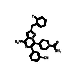 N#Cc1cccc(-c2nc(N)c3cc(Cc4ccccc4F)nn3c2C2=CCN(C(N)=O)CC2)c1